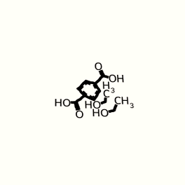 CCO.CCO.O=C(O)c1ccc(C(=O)O)cc1